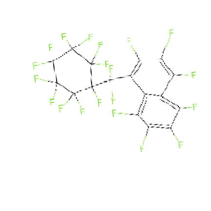 Fc1c(F)c(F)c2c(C(F)(F)C3(F)C(F)(F)C(F)(F)C(F)(F)C(F)(F)C3(F)F)c(F)c(F)c(F)c2c1F